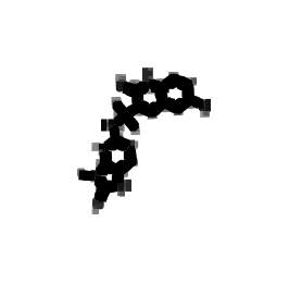 Cn1c(=O)[nH]c2cnc(NC(C)(C)c3cc4cc(Cl)ccc4[nH]c3=O)nc21